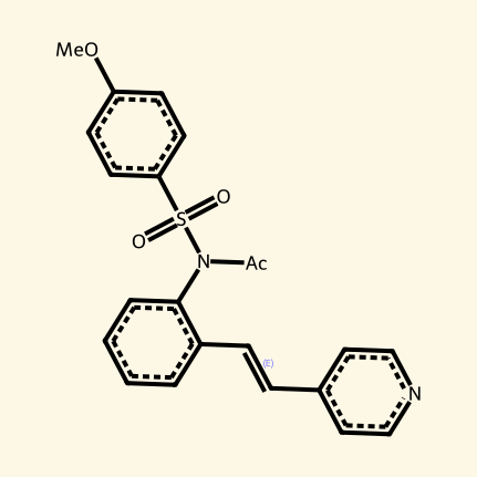 COc1ccc(S(=O)(=O)N(C(C)=O)c2ccccc2/C=C/c2ccncc2)cc1